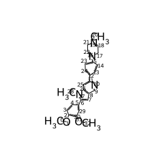 COc1ccc(-c2cc3cnc(-c4ccc(N5CCN(C)CC5)cc4)cc3n2C)cc1OC